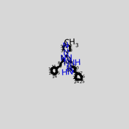 CN1CCN(c2nc(/C=C/c3ccccc3)nc(Nc3cc(-c4ccccc4)[nH]n3)n2)CC1